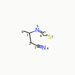 CC(CC#N)N=C=S